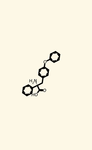 N[C@](Cc1ccc(Oc2ccccc2)cc1)(C(=O)O)c1ccccc1